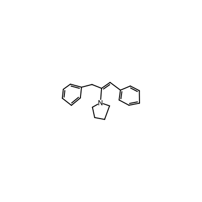 C(=C(Cc1ccccc1)N1CCCC1)c1ccccc1